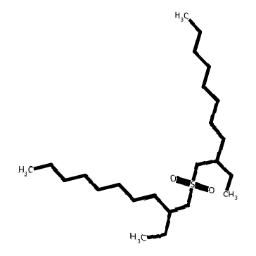 CCCCCCCCC(CC)CS(=O)(=O)CC(CC)CCCCCCCC